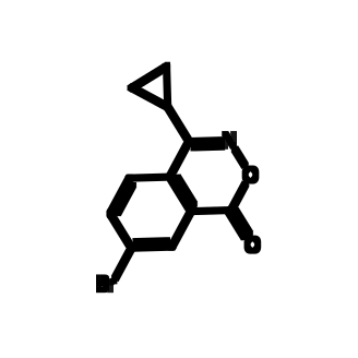 O=c1onc(C2CC2)c2ccc(Br)cc12